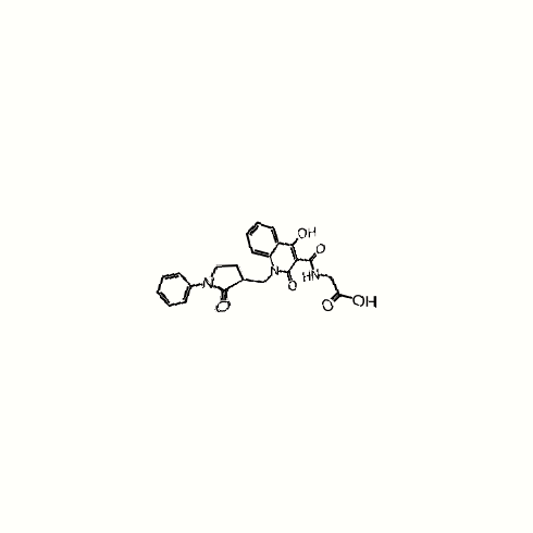 O=C(O)CNC(=O)c1c(O)c2ccccc2n(CC2CCN(c3ccccc3)C2=O)c1=O